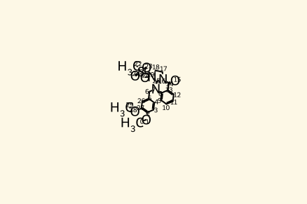 COc1ccc(CN2c3ccccc3C(=O)N3CCN(OS(C)(=O)=O)C32)cc1OC